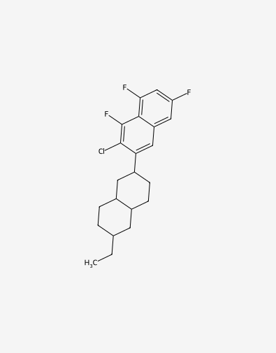 CCC1CCC2CC(c3cc4cc(F)cc(F)c4c(F)c3Cl)CCC2C1